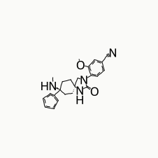 CN[C@]1(c2ccccc2)CC[C@]2(CC1)CN(c1ccc(C#N)cc1OC)C(=O)N2